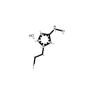 CCNc1nnn(CCF)n1.Cl